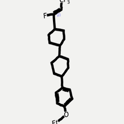 CCOc1ccc(C2CCC(C3CCC(/C(F)=C/C(F)(F)F)CC3)CC2)cc1